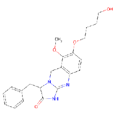 COc1c(OCCCCO)ccc2c1CN1C(=N2)NC(=O)C1Cc1ccccc1